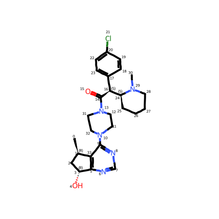 C[C@@H]1C[C@@H](O)c2ncnc(N3CCN(C(=O)[C@@H](c4ccc(Cl)cc4)[C@@H]4CCCCN4C)CC3)c21